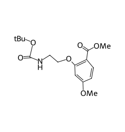 COC(=O)c1ccc(OC)cc1OCCNC(=O)OC(C)(C)C